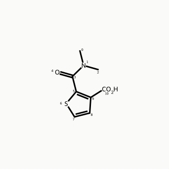 CN(C)C(=O)c1sccc1C(=O)O